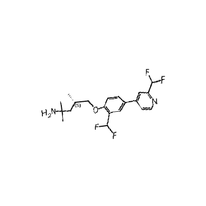 C[C@H](COc1ccc(-c2ccnc(C(F)F)c2)cc1C(F)F)CC(C)(C)N